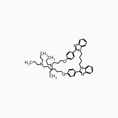 CCCN(CCC)CCCCCCOc1ccc(-c2nc3ccccc3n2CCCCn2c(-c3ccc(OCCCN(CCC)CCC)cc3)nc3ccccc32)cc1